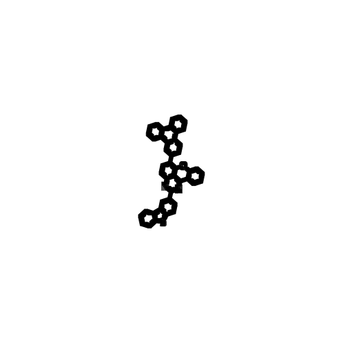 c1ccc2c(c1)Oc1c(-c3ccc4c5ccccc5c5ccccc5c4c3)ccc3nc(-c4ccc5sc6ccccc6c5c4)nc-2c13